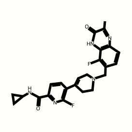 Cc1nc2ccc(CN3CC=C(c4ccc(C(=O)NC5CC5)nc4F)CC3)c(F)c2[nH]c1=O